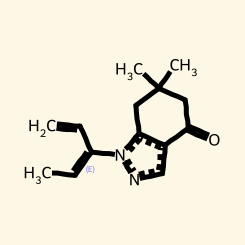 C=C/C(=C\C)n1ncc2c1CC(C)(C)CC2=O